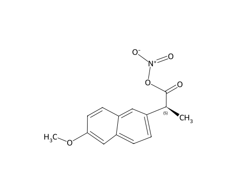 COc1ccc2cc([C@H](C)C(=O)O[N+](=O)[O-])ccc2c1